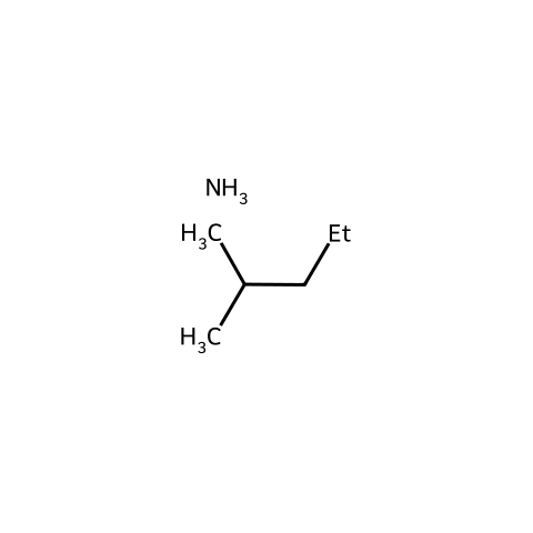 CCCC(C)C.N